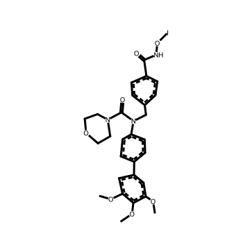 COc1cc(-c2ccc(N(Cc3ccc(C(=O)NOI)cc3)C(=O)N3CCOCC3)cc2)cc(OC)c1OC